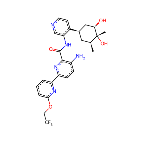 C[C@H]1C[C@@H](c2ccncc2NC(=O)c2nc(-c3cccc(OCC(F)(F)F)n3)ccc2N)C[C@@H](O)[C@]1(C)O